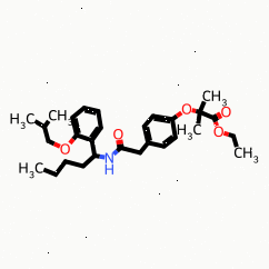 CCCCC(NC(=O)Cc1ccc(OC(C)(C)C(=O)OCC)cc1)c1ccccc1OCC(C)C